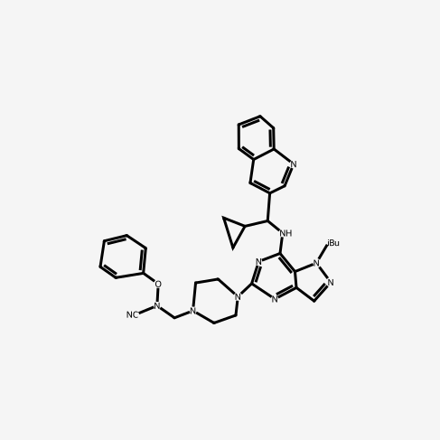 CCC(C)n1ncc2nc(N3CCN(CN(C#N)Oc4ccccc4)CC3)nc(NC(c3cnc4ccccc4c3)C3CC3)c21